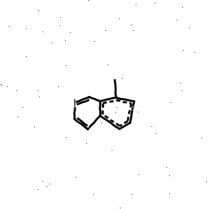 Cc1cccc2c1C=IC=C2